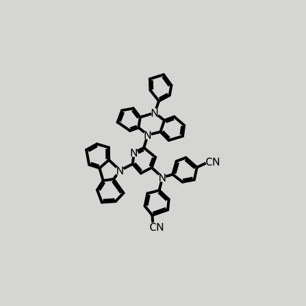 N#Cc1ccc(N(c2ccc(C#N)cc2)c2cc(N3c4ccccc4N(c4ccccc4)c4ccccc43)nc(-n3c4ccccc4c4ccccc43)c2)cc1